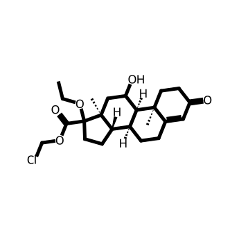 CCOC1(C(=O)OCCl)CC[C@H]2[C@@H]3CCC4=CC(=O)CC[C@]4(C)[C@@H]3C(O)C[C@@]21C